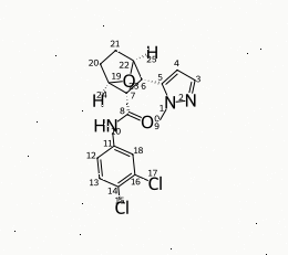 Cn1nccc1[C@@H]1[C@H](C(=O)Nc2ccc(Cl)c(Cl)c2)[C@H]2CC[C@@H]1O2